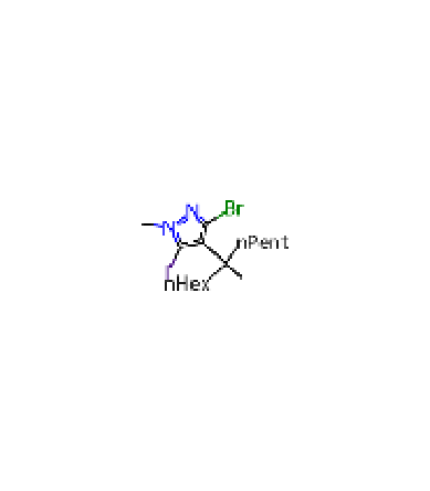 CCCCCCC(C)(CCCCC)c1c(Br)nn(C)c1I